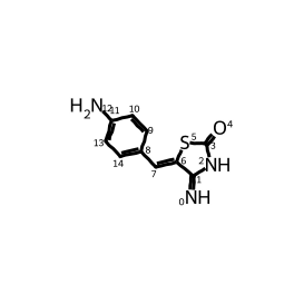 N=C1NC(=O)S/C1=C\c1ccc(N)cc1